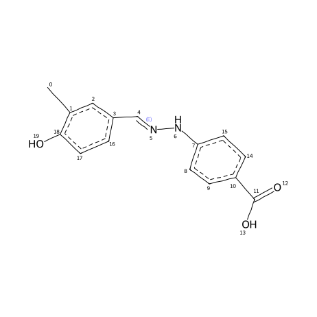 Cc1cc(/C=N/Nc2ccc(C(=O)O)cc2)ccc1O